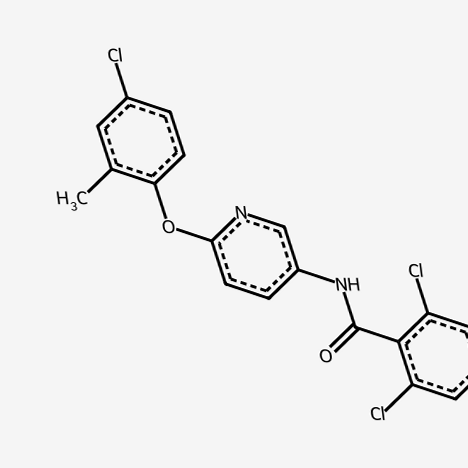 Cc1cc(Cl)ccc1Oc1ccc(NC(=O)c2c(Cl)cccc2Cl)cn1